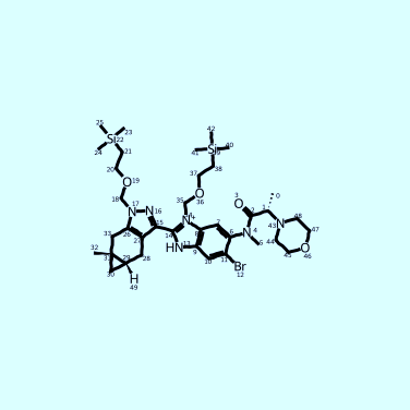 C[C@@H](C(=O)N(C)c1cc2c(cc1Br)[nH]c(-c1nn(COCC[Si](C)(C)C)c3c1C[C@@H]1C[C@]1(C)C3)[n+]2COCC[Si](C)(C)C)N1CCOCC1